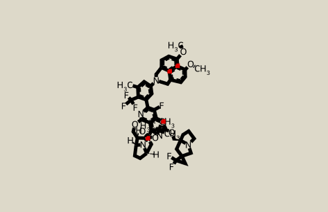 COc1ccc(CN(Cc2ccc(OC)cc2)c2cc(C)c(C(F)(F)F)c(-c3nc4c5c(nc(OC[C@@]67CCCN6CC6(CC6(F)F)C7)nc5c3F)N3C[C@H]5CC[C@@H]([C@H]3CO4)N5C(=O)OC(C)(C)C)c2)cc1